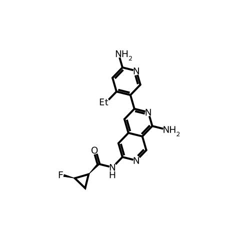 CCc1cc(N)ncc1-c1cc2cc(NC(=O)[C@H]3C[C@H]3F)ncc2c(N)n1